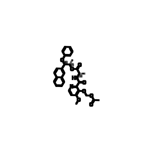 COc1ccnc(C(=O)N[C@@H](C)C(=O)O[C@@H](C)[C@H](Oc2ccccc2)c2ccc3ccccc3c2)c1OCOC(C)=O